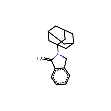 C=C1c2ccccc2CN1C12CC3CC(CC(C3)C1)C2